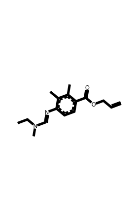 C=CCOC(=O)c1ccc(/N=C/N(C)CC)c(C)c1C